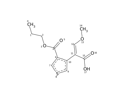 CCCOC(=O)c1cscc1C(=COC)C(=O)O